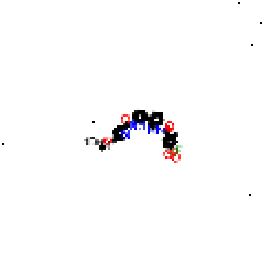 Cc1cc(S(=O)(=O)F)ccc1C(=O)NC1C=CC=C(c2cccc(NC(=O)c3ccc(CO[Si](C)(C)C(C)(C)C)cn3)c2)C1(C)C